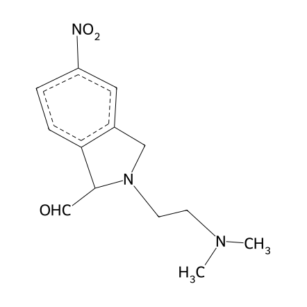 CN(C)CCN1Cc2cc([N+](=O)[O-])ccc2C1C=O